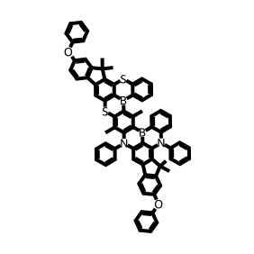 Cc1c2c(c(C)c3c1B1c4ccccc4N(c4ccccc4)c4c1c(cc1c4C(C)(C)c4cc(Oc5ccccc5)ccc4-1)N3c1ccccc1)Sc1cc3c(c4c1B2c1ccccc1S4)C(C)(C)c1cc(Oc2ccccc2)ccc1-3